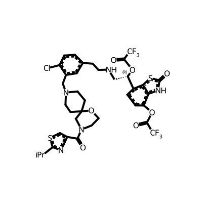 CC(C)c1nc(C(=O)N2CCOC3(CCN(Cc4cc(CCNC[C@H](OC(=O)C(F)(F)F)c5ccc(OC(=O)C(F)(F)F)c6[nH]c(=O)sc56)ccc4Cl)CC3)C2)cs1